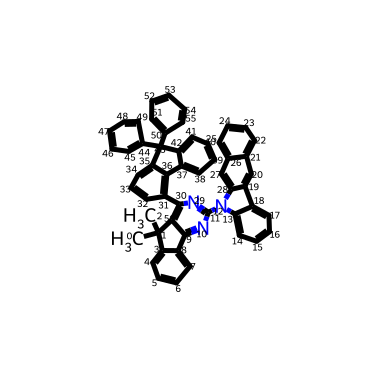 CC1(C)c2ccccc2-c2nc(-n3c4ccccc4c4cc5ccccc5cc43)nc(-c3cccc4c3-c3ccccc3C4(c3ccccc3)c3ccccc3)c21